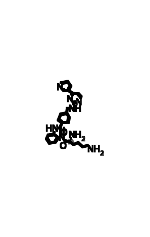 NCCCC[C@H](N)C(=O)Nc1ccccc1NC(=O)c1ccc(CNc2nccc(-c3cccnc3)n2)cc1